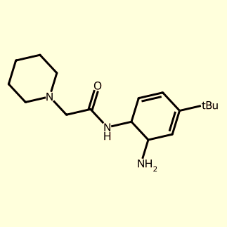 CC(C)(C)C1=CC(N)C(NC(=O)CN2CCCCC2)C=C1